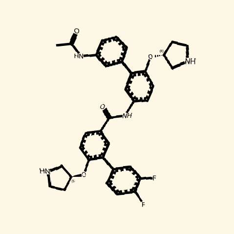 CC(=O)Nc1cccc(-c2cc(NC(=O)c3ccc(O[C@H]4CCNC4)c(-c4ccc(F)c(F)c4)c3)ccc2O[C@@H]2CCNC2)c1